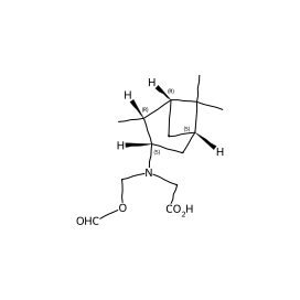 C[C@@H]1[C@H]2C[C@@H](C[C@@H]1N(COC=O)CC(=O)O)C2(C)C